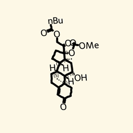 CCCCC(=O)OCC(=O)[C@@]1(OC(=O)OC)CC[C@H]2[C@@H]3CCC4=CC(=O)CC[C@]4(C)[C@H]3[C@@H](O)C[C@@]21C